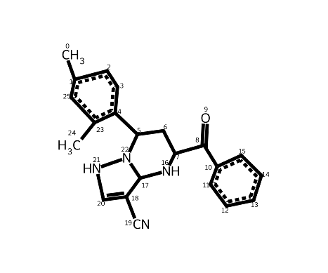 Cc1ccc(C2CC(C(=O)c3ccccc3)NC3C(C#N)=CNN32)c(C)c1